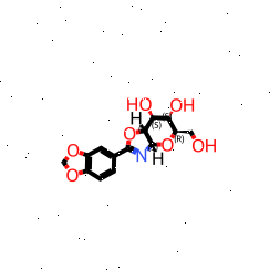 OC[C@H]1O[C@@H]2N=C(c3ccc4c(c3)OCO4)O[C@@H]2[C@@H](O)[C@@H]1O